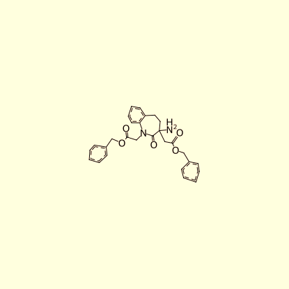 NC1(CC(=O)OCc2ccccc2)CCc2ccccc2N(CC(=O)OCc2ccccc2)C1=O